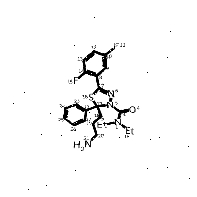 CCN(CC)C(=O)N1N=C(c2cc(F)ccc2F)SC1(CCCN)c1ccccc1